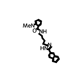 CNc1ccccc1C(=O)NCCCCCc1ncc(-c2ccc3ccccc3c2)[nH]1